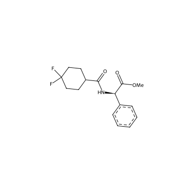 COC(=O)[C@H](NC(=O)C1CCC(F)(F)CC1)c1ccccc1